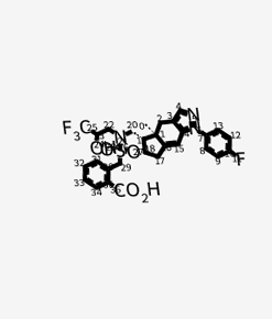 C[C@]12Cc3cnn(-c4ccc(F)cc4)c3C=C1CC[C@@H]2CN(CC(O)C(F)(F)F)S(=O)(=O)Cc1ccccc1C(=O)O